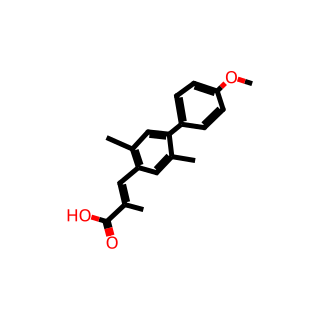 COc1ccc(-c2cc(C)c(/C=C(\C)C(=O)O)cc2C)cc1